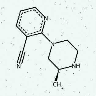 C[C@H]1CN(c2ncccc2C#N)CCN1